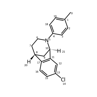 Cc1ccc(N2CC[C@@H]3C[C@@H]2c2cc(Cl)ccc23)cc1